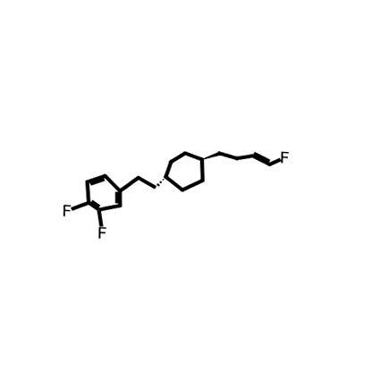 F/C=C/CC[C@H]1CC[C@H](CCc2ccc(F)c(F)c2)CC1